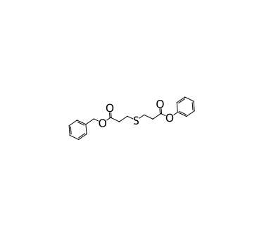 O=C(CCSCCC(=O)Oc1ccccc1)OCc1ccccc1